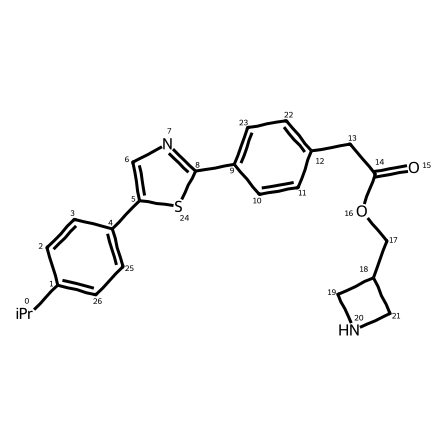 CC(C)c1ccc(-c2cnc(-c3ccc(CC(=O)OCC4CNC4)cc3)s2)cc1